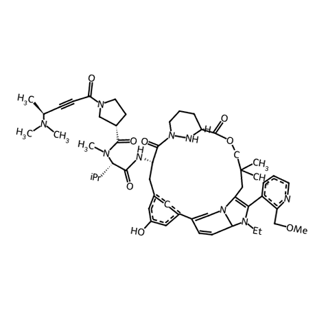 CCN1C(c2cccnc2COC)=C2CC(C)(C)COC(=O)[C@@H]3CCCN(N3)C(=O)[C@@H](NC(=O)[C@H](C(C)C)N(C)C(=O)[C@H]3CCN(C(=O)C#C[C@H](C)N(C)C)C3)Cc3cc(O)cc(c3)C3=CN2C1C=C3